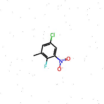 Cc1cc(Cl)cc([N+](=O)[O-])c1F